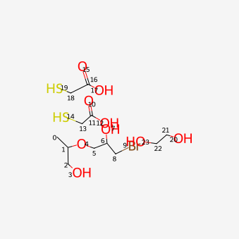 CC(CO)OCC(O)CBr.O=C(O)CS.O=C(O)CS.OCCO